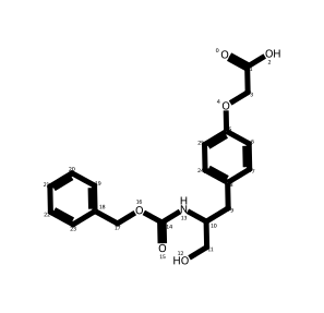 O=C(O)COc1ccc(CC(CO)NC(=O)OCc2ccccc2)cc1